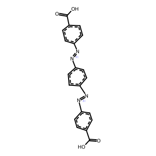 O=C(O)c1ccc(/N=N/c2ccc(/N=N/c3ccc(C(=O)O)cc3)cc2)cc1